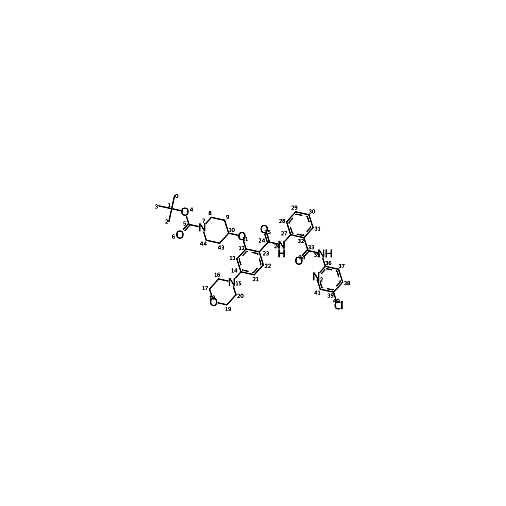 CC(C)(C)OC(=O)N1CCC(Oc2cc(N3CCOCC3)ccc2C(=O)Nc2ccccc2C(=O)Nc2ccc(Cl)cn2)CC1